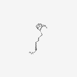 CC=CC=CCC1=CC2CC13CC2C3C